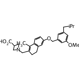 COc1cc(COc2ccc3c(c2)CCC(CN2CC(C(=O)O)C2)=C3C)cc(CC(C)C)c1